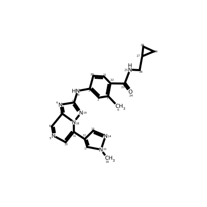 Cc1cc(Nc2nc3cncc(-c4cnn(C)c4)n3n2)ccc1C(=O)NCC1CC1